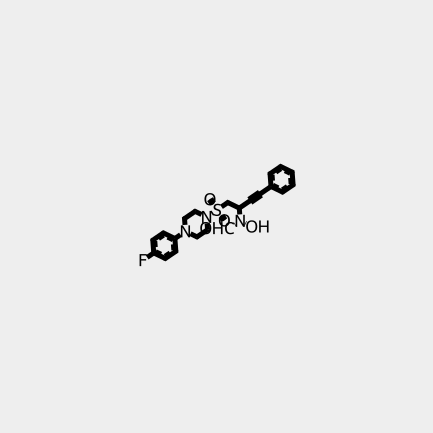 O=CN(O)C(C#Cc1ccccc1)CS(=O)(=O)N1CCN(c2ccc(F)cc2)CC1